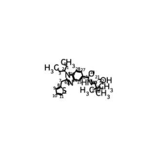 CCC(CC)n1c(Cc2cccs2)nc2cc(C(=O)N[C@H](CO)C(C)(C)C)ccc21